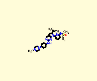 C=C(C)c1cc2cnc(Nc3ccc(N4CCN(C)CC4)cc3)nc2n1-c1cccc(N=S(C)(C)=O)n1